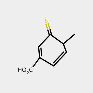 CC1C=CC(C(=O)O)=CC1=S